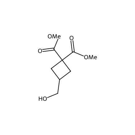 COC(=O)C1(C(=O)OC)CC(CO)C1